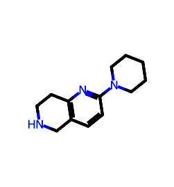 c1cc2c(nc1N1CCCCC1)CCNC2